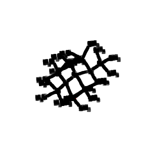 [SiH3][SiH]([SiH3])[Si]([SiH3])([Si]([SiH3])([SiH3])[SiH3])[Si]([Si]([SiH3])([SiH3])[SiH3])([Si]([SiH3])([SiH3])[SiH3])[Si]([Si]([SiH3])([SiH3])[SiH3])([Si]([SiH3])([SiH3])[SiH3])[Si]([SiH3])([SiH3])[SiH3]